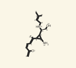 C=C(Cl)/C=C\C=C(/F)C1C(N)C1[C@H](CO)NCC=C(C)C